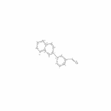 O=Cc1cccc(-c2ccc3nccnc3c2)c1